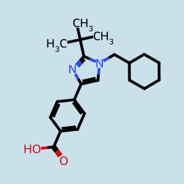 CC(C)(C)c1nc(-c2ccc(C(=O)O)cc2)cn1CC1CCCCC1